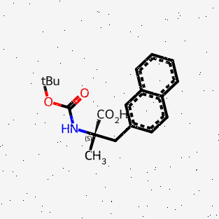 CC(C)(C)OC(=O)N[C@@](C)(Cc1ccc2ccccc2c1)C(=O)O